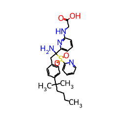 CCCCC(C)(C)c1ccc(CC(N)(c2cccc(NCC(=O)O)n2)S(=O)(=O)c2ccccn2)cc1